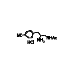 CC(=O)NCC(N)Cc1ccc(C#N)cc1.Cl